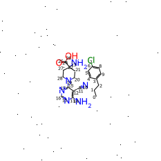 CCCc1ccc(Cl)cc1.N#Cc1c(N)ncnc1N1CCC(N)(C(=O)O)CC1